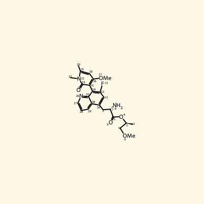 COC[C@H](C)OC(=O)[C@@H](N)Cc1cc(F)c(-c2c(OC)cc(C)n(C)c2=O)c2ncccc12